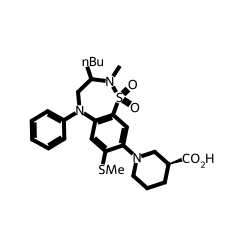 CCCCC1CN(c2ccccc2)c2cc(SC)c(N3CCC[C@H](C(=O)O)C3)cc2S(=O)(=O)N1C